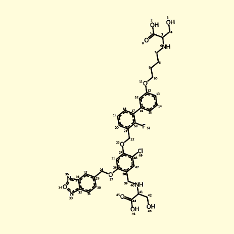 O=C(O)C(CO)NCCCCOc1cccc(-c2cccc(COc3cc(OCc4ccc5nonc5c4)c(CNC(CO)C(=O)O)cc3Cl)c2F)c1